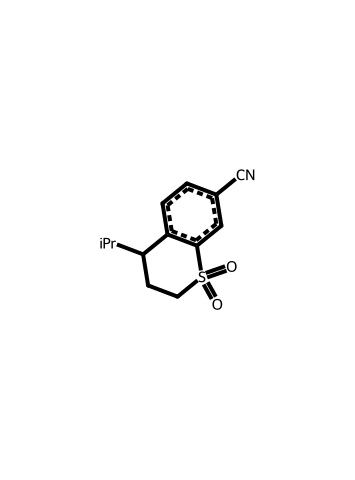 CC(C)C1CCS(=O)(=O)c2cc(C#N)ccc21